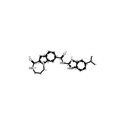 CC(C)c1ccc2[nH]c(NC(=O)c3ccc4cc5n(c4c3)CCCNC5=O)nc2c1